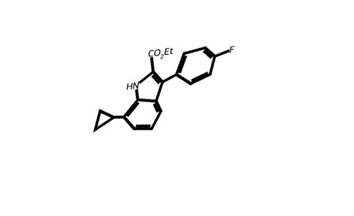 CCOC(=O)c1[nH]c2c(C3CC3)cccc2c1-c1ccc(F)cc1